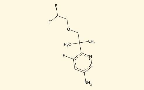 CC(C)(COCC(F)F)c1ncc(N)cc1F